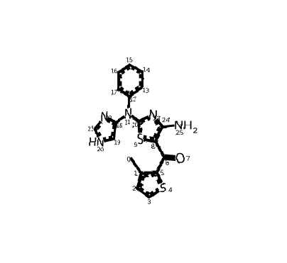 Cc1ccsc1C(=O)c1sc(N(c2ccccc2)c2c[nH]cn2)nc1N